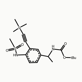 CC(NC(=O)OC(C)(C)C)c1ccc(NS(C)(=O)=O)c(C#C[Si](C)(C)C)c1